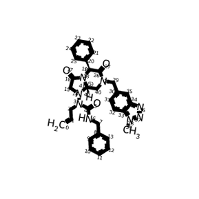 C=CCN(C(=O)NCc1ccccc1)N1CC(=O)N2[C@@H](c3ccccc3)C(=O)N(Cc3ccc4c(c3)nnn4C)C[C@@H]21